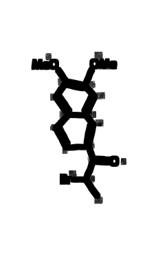 COc1cc2ccc(C(=O)C(C)Br)cc2cc1OC